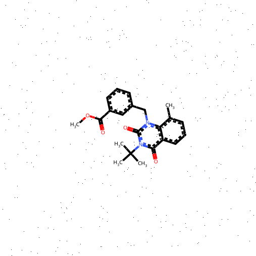 COC(=O)c1cccc(Cn2c(=O)n(C(C)(C)C)c(=O)c3cccc(C)c32)c1